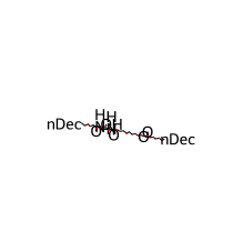 CCCCCCCCCCCCCCCC(=O)NCC(O)CNC(=O)CCCCCCCCCOC(=O)CCCCCCCCCCCCCCC